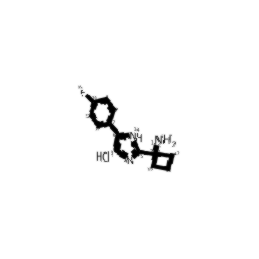 Cl.NC1(c2ncc(-c3ccc(F)cc3)[nH]2)CCC1